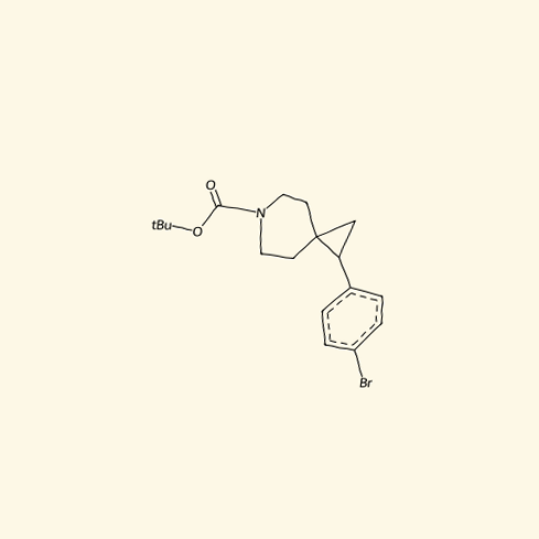 CC(C)(C)OC(=O)N1CCC2(CC1)CC2c1ccc(Br)cc1